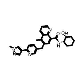 Cc1c(Cc2ccc(-c3cnn(C)c3)nc2)cc(C(=O)N[C@H]2CCCC[C@@H]2O)c2ncccc12